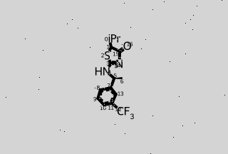 CC(C)C1SC(N[C@@H](C)c2cccc(C(F)(F)F)c2)=NC1=O